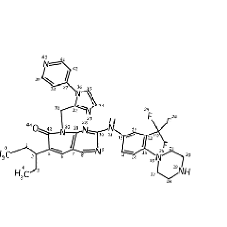 CCC(CC)c1cc2cnc(Nc3ccc(N4CCNCC4)c(C(F)(F)F)c3)nc2n(Cc2nccn2-c2ccncc2)c1=O